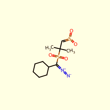 CC(C)(C=S(=O)=O)S(=O)(=O)C(=[N+]=[N-])C1CCCCC1